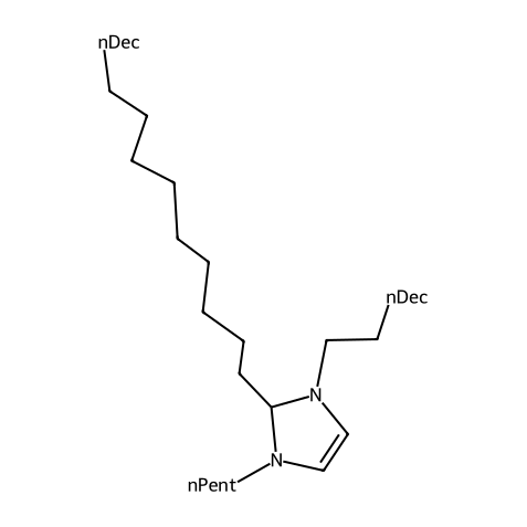 CCCCCCCCCCCCCCCCCCCC1N(CCCCC)C=CN1CCCCCCCCCCCC